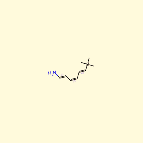 C[Si](C)(C)/C=C/C=C\C=C\N